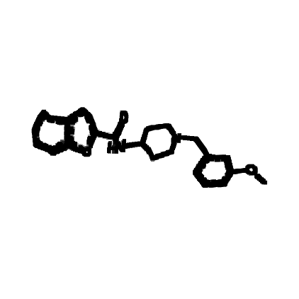 COc1cccc(CN2CCC(NC(=O)c3cc4ccccc4o3)CC2)c1